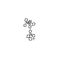 Cc1ccc(N(c2ccc(-c3ccc4c(c3)c3ccccc3c3nc5c6ccccc6n(-c6ccccc6)c5n43)cc2)c2cccc3c2-c2ccccc2C3(C)C)cc1